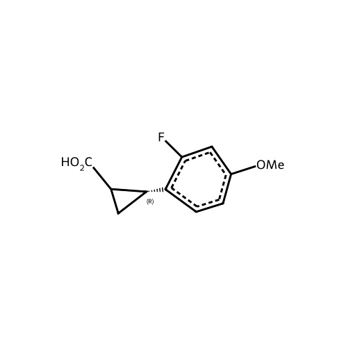 COc1ccc([C@@H]2CC2C(=O)O)c(F)c1